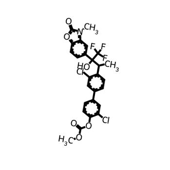 COC(=O)Oc1ccc(-c2ccc(C(C)C(O)(c3ccc4oc(=O)n(C)c4c3)C(F)(F)F)c(Cl)c2)cc1Cl